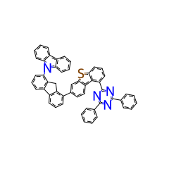 c1ccc(-c2nc(-c3ccccc3)nc(-c3cccc4sc5cc(-c6cccc7c6Cc6c-7cccc6-n6c7ccccc7c7ccccc76)ccc5c34)n2)cc1